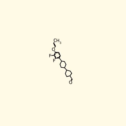 C/C=C/Oc1ccc(C2CCC(C3CCC(C=O)CC3)CC2)c(F)c1F